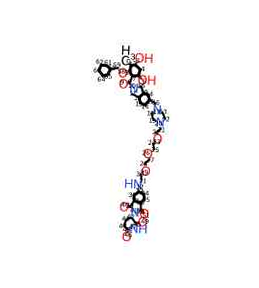 Cc1c(O)cc(O)c(C(=O)N2Cc3ccc(CN4CCN(CCOCCOCCOCCNc5ccc6c(c5)C(=O)N(C5CCC(=O)NC5=O)C6=O)CC4)cc3C2)c1OCc1ccccc1